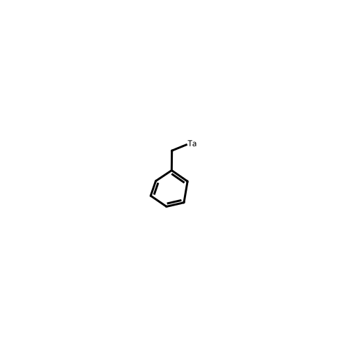 [Ta][CH2]c1ccccc1